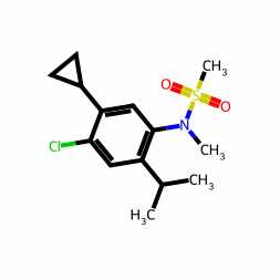 CC(C)c1cc(Cl)c(C2CC2)cc1N(C)S(C)(=O)=O